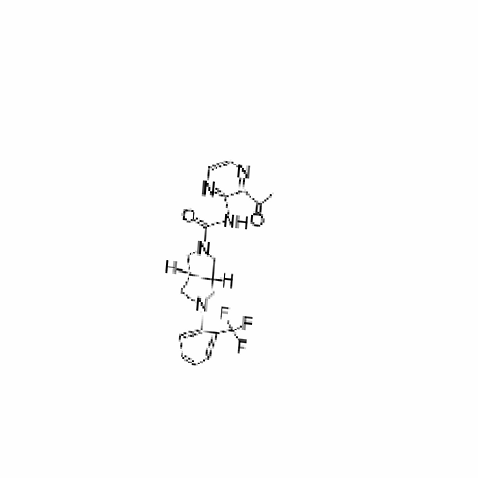 CC(=O)c1nccnc1NC(=O)N1C[C@@H]2CN(c3ccccc3C(F)(F)F)C[C@@H]2C1